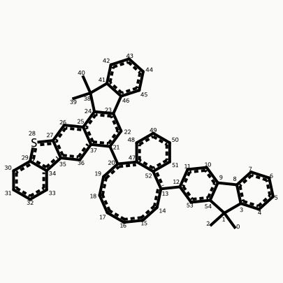 CC1(C)c2ccccc2-c2ccc(-c3ccccccc(-c4cc5c(c6cc7sc8ccccc8c7cc46)C(C)(C)c4ccccc4-5)c4ccccc34)cc21